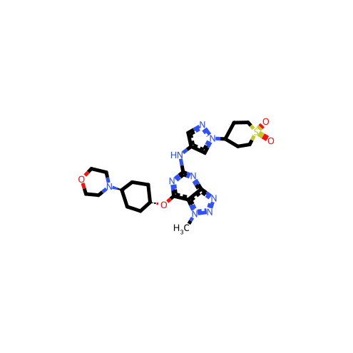 Cn1nnc2nc(Nc3cnn(C4CCS(=O)(=O)CC4)c3)nc(O[C@H]3CC[C@H](N4CCOCC4)CC3)c21